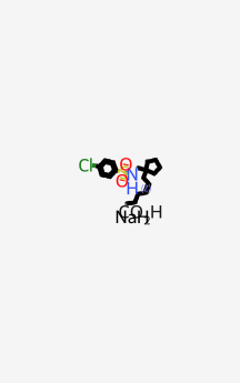 O=C(O)CCC/C=C\CC1(CNS(=O)(=O)c2ccc(Cl)cc2)CCCC1.[NaH]